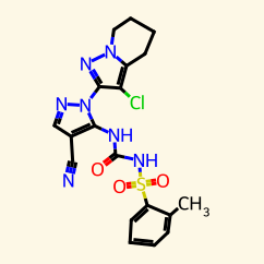 Cc1ccccc1S(=O)(=O)NC(=O)Nc1c(C#N)cnn1-c1nn2c(c1Cl)CCCC2